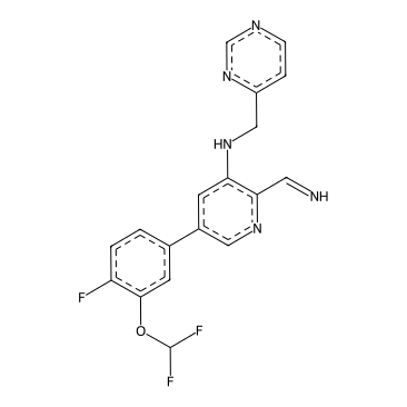 N=Cc1ncc(-c2ccc(F)c(OC(F)F)c2)cc1NCc1ccncn1